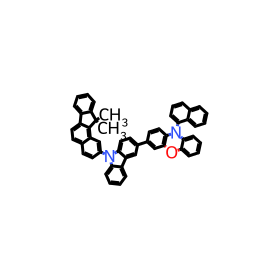 CC1(C)c2ccccc2-c2ccc3ccc(-n4c5ccccc5c5cc(-c6ccc7c(c6)Oc6ccccc6N7c6cccc7ccccc67)ccc54)cc3c21